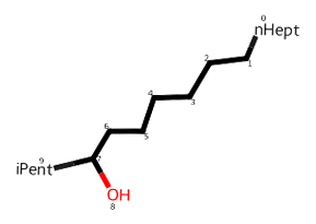 CCCCCCCCCCCCCC(O)C(C)CCC